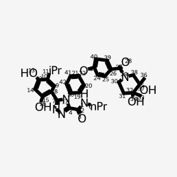 CCCNC(=O)c1nnc(-c2cc(C(C)C)c(O)cc2O)n1-c1ccc(Oc2ccc(C(=O)N3CCC(C)(O)C(C)(O)C3)cc2)cc1